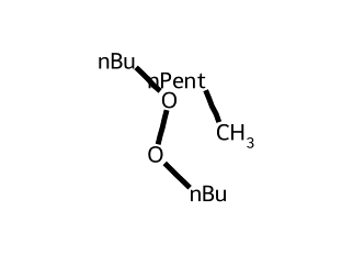 CCCCCC.CCCCOOCCCC